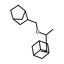 CC(OCC1CC2CCC1C2)C1=C2C3CC(C1)CC2C3